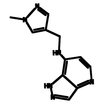 Cn1cc(CNc2ccnc3cn[nH]c23)cn1